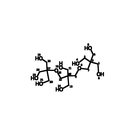 OCC(CO)(CO)COCC(CO)(CO)COC(CO)(CO)CO